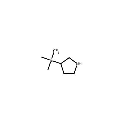 C[Si](C)(C1CCNC1)C(F)(F)F